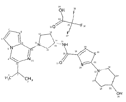 CC(C)c1cn2cccc2c(N2CC[C@H](NC(=O)c3csc(N4CCC(O)CC4)n3)C2)n1.O=C(O)C(F)(F)F